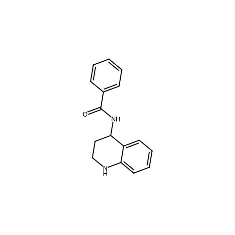 O=C(NC1CCNc2ccccc21)c1ccccc1